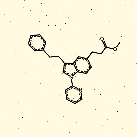 COC(=O)CCc1ccc2c(c1)c(CCc1ccccc1)cn2-c1ccccn1